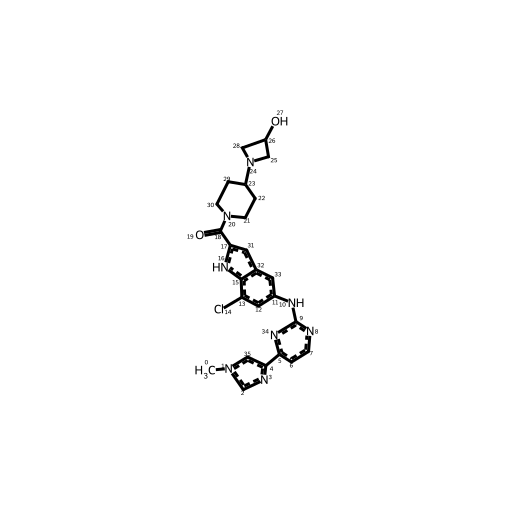 Cn1cnc(-c2ccnc(Nc3cc(Cl)c4[nH]c(C(=O)N5CCC(N6CC(O)C6)CC5)cc4c3)n2)c1